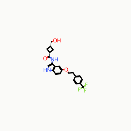 O=C(Nc1c[nH]c2ccc(OCCc3ccc(C(F)(F)F)cc3)cc12)[C@H]1C[C@@H](CO)C1